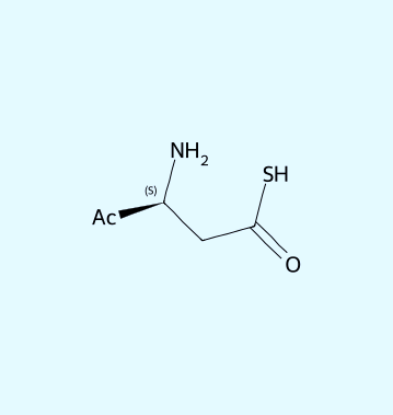 CC(=O)[C@@H](N)CC(=O)S